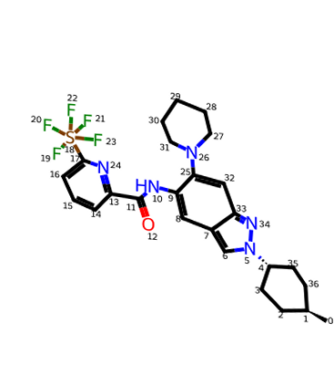 C[C@H]1CC[C@H](n2cc3cc(NC(=O)c4cccc(S(F)(F)(F)(F)F)n4)c(N4CCCCC4)cc3n2)CC1